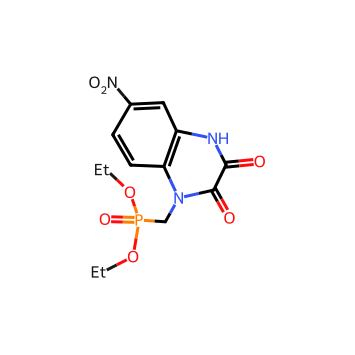 CCOP(=O)(Cn1c(=O)c(=O)[nH]c2cc([N+](=O)[O-])ccc21)OCC